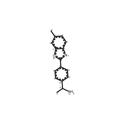 Cc1ccc2nc(-c3ccc(C(C)N)cc3)oc2c1